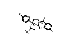 Cc1ccc([C@H](C)N2CC[C@](CC(C)C#N)(c3ccc(F)cc3)OC2=O)cc1